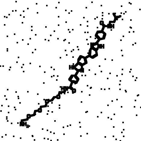 CN(C)CCNC(=O)c1ccc(-c2nc3cc(-c4ccc5[nH]c(-c6ccc(C(=O)NCCOCCOCCOCCOCCN)cc6)nc5c4)ccc3[nH]2)cc1